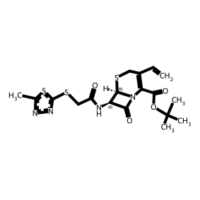 C=CC1=C(C(=O)OC(C)(C)C)N2C(=O)[C@@H](NC(=O)CSc3nnc(C)s3)[C@H]2SC1